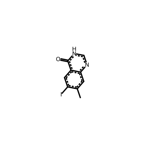 Cc1cc2nc[nH]c(=O)c2cc1I